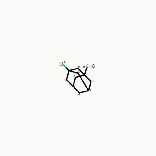 O=[C]C12CC3CC(CC(Cl)(C3)C1)C2